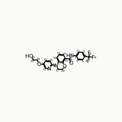 O=C(Nc1ccc(C(F)(F)F)cc1)c1cccc2c1OCCN2c1ccc(OCCO)cn1